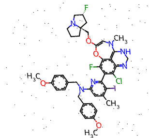 COc1ccc(CN(Cc2ccc(OC)cc2)c2cc(C)c(I)c(-c3c(F)c4c5c(c3Cl)=NCNC=5N(C)C=C(OC[C@@]35CCCN3C[C@H](F)C5)O4)n2)cc1